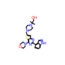 CC(C)(CO)N1CCN(Cc2cc3nc(-c4cccc5[nH]ncc45)nc(N4CCOCC4)c3s2)CC1